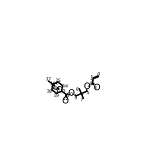 C=CC(=O)OCC(C)(C)COC(=O)C12CCC(C)(CC1)CC2